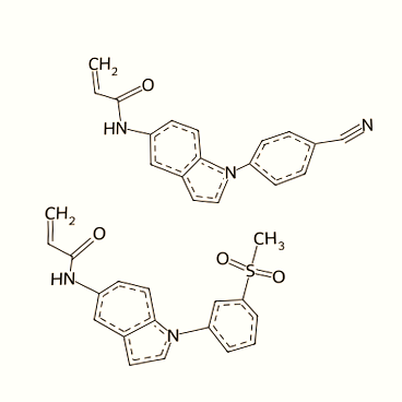 C=CC(=O)Nc1ccc2c(ccn2-c2ccc(C#N)cc2)c1.C=CC(=O)Nc1ccc2c(ccn2-c2cccc(S(C)(=O)=O)c2)c1